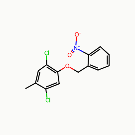 Cc1cc(Cl)c(OCc2ccccc2[N+](=O)[O-])cc1Cl